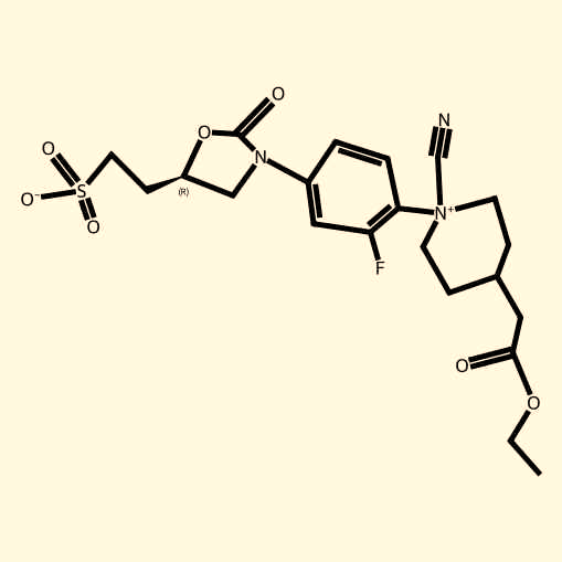 CCOC(=O)CC1CC[N+](C#N)(c2ccc(N3C[C@@H](CCS(=O)(=O)[O-])OC3=O)cc2F)CC1